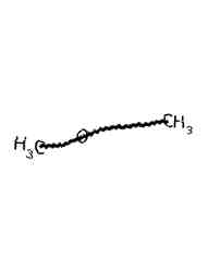 CCCCCCCCCCCCCCCCCCCCCCCCCCC[CH]OCCCCCCCCCCCCCCC